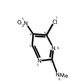 CNc1ncc([N+](=O)[O-])c(Cl)n1